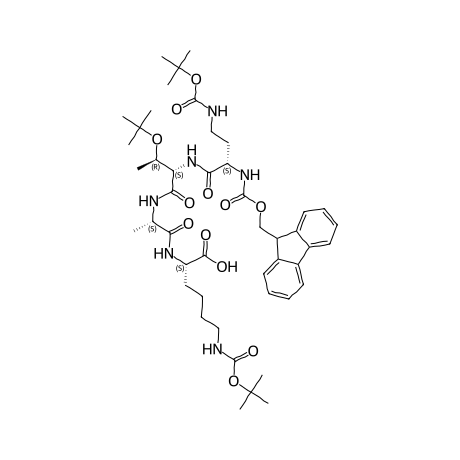 C[C@H](NC(=O)[C@@H](NC(=O)[C@H](CCNC(=O)OC(C)(C)C)NC(=O)OCC1c2ccccc2-c2ccccc21)[C@@H](C)OC(C)(C)C)C(=O)N[C@@H](CCCCNC(=O)OC(C)(C)C)C(=O)O